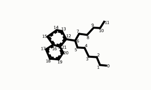 CCCCCCC(CCCCC)c1cccc2ccccc12